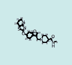 CNC(=O)C1CCN(Cc2coc3cc(Oc4nc5ncccc5s4)ccc23)CC1